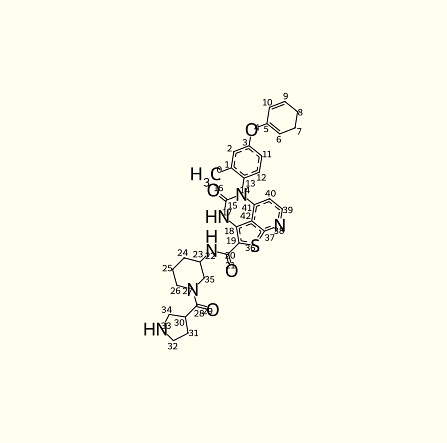 Cc1cc(OC2=CCCC=C2)ccc1N1C(=O)Nc2c(C(=O)NC3CCCN(C(=O)C4CCNC4)C3)sc3nccc1c23